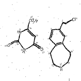 ClCc1ccc2c(c1)CCNCC2.O=C(O)c1cc(=O)[nH]c(=O)[nH]1